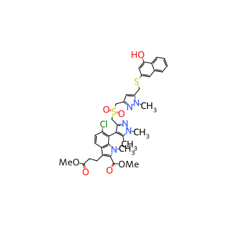 COC(=O)CCc1c(C(=O)OC)n(C)c2c(-c3c(CS(=O)(=O)Cc4cc(CSc5cc(O)c6ccccc6c5)n(C)n4)nn(C)c3C)c(Cl)ccc12